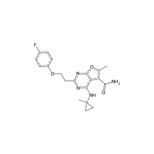 Cc1oc2nc(CCOc3ccc(F)cc3)nc(NC3(C)CC3)c2c1C(N)=O